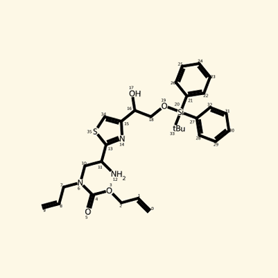 C=CCOC(=O)N(CC=C)CC(N)c1nc(C(O)CO[Si](c2ccccc2)(c2ccccc2)C(C)(C)C)cs1